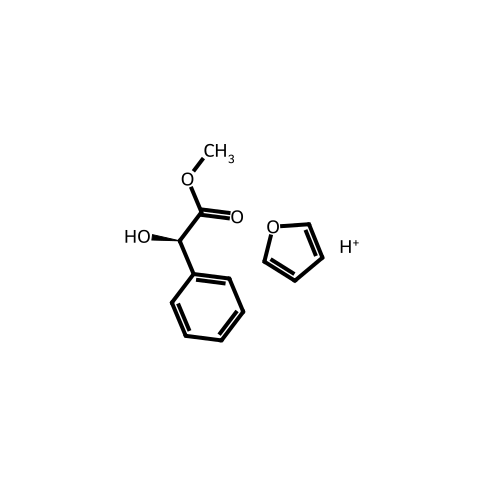 COC(=O)[C@H](O)c1ccccc1.[H+].c1ccoc1